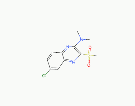 CN(C)c1nc2ccc(Cl)cc2nc1S(C)(=O)=O